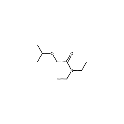 CCN(CC)C(=O)COC(C)C